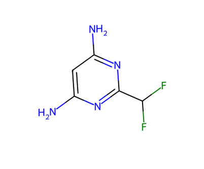 Nc1cc(N)nc(C(F)F)n1